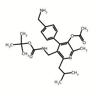 CC(=O)Oc1c(C)nc(CC(C)C)c(CNC(=O)OC(C)(C)C)c1-c1ccc(CN)cc1